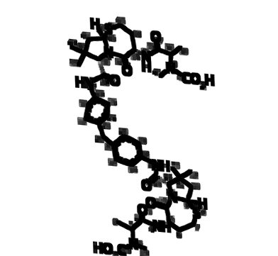 CC(C(=O)N[C@H]1CCS[C@H]2CC(C)(C)[C@@H](C(=O)Nc3ccc(Cc4ccc(NC(=O)[C@H]5N6C(=O)[C@@H](NC(=O)C(C)N(C)C(=O)O)CCS[C@H]6CC5(C)C)cc4)cc3)N2C1=O)N(C)C(=O)O